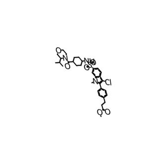 COC(=O)CCc1ccc(-c2c(Cl)c3ccc(S(=O)(=O)NC4CCC(C(=O)N5CCOCC5C(C)C)CC4)cc3n2C)cc1